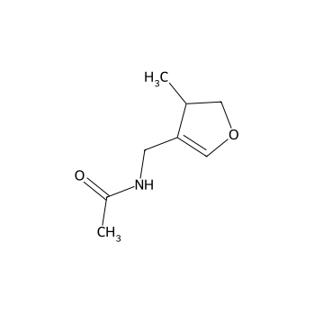 CC(=O)NCC1=COCC1C